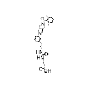 Cc1cccc(C)c1C(=O)N1CC2CN(c3cccc(CCCNC(=O)NCCCC(=O)O)c3)CC2C1